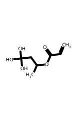 C=CC(=O)OC(C)CC(O)(O)O